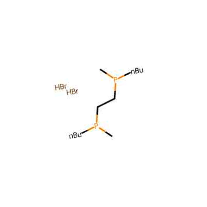 Br.Br.CCCCP(C)CCP(C)CCCC